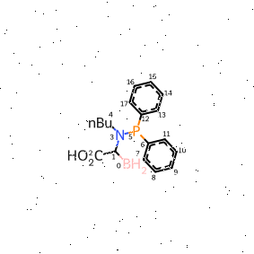 BC(C(=O)O)N(CCCC)P(c1ccccc1)c1ccccc1